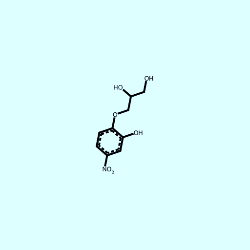 O=[N+]([O-])c1ccc(OCC(O)CO)c(O)c1